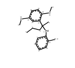 CCCC(C)(Pc1ccccc1F)c1cc(OC)ccc1OC